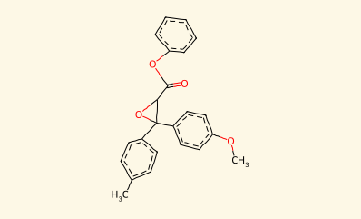 COc1ccc(C2(c3ccc(C)cc3)OC2C(=O)Oc2ccccc2)cc1